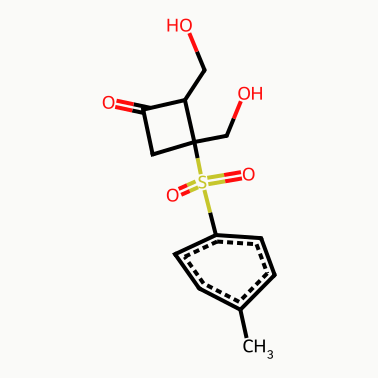 Cc1ccc(S(=O)(=O)C2(CO)CC(=O)C2CO)cc1